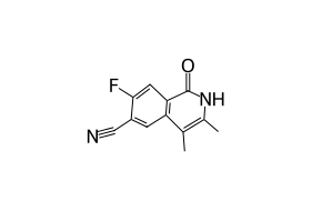 Cc1[nH]c(=O)c2cc(F)c(C#N)cc2c1C